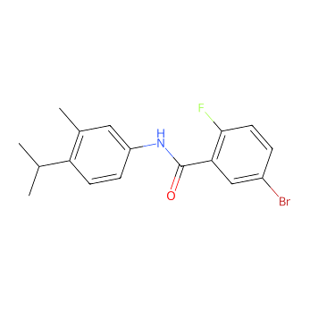 Cc1cc(NC(=O)c2cc(Br)ccc2F)ccc1C(C)C